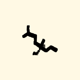 C=CC[C@](C)(CC=C(C)C)C(C)=O